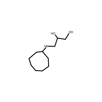 OCC(O)CNC1CCCCCCC1